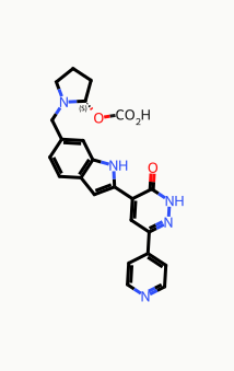 O=C(O)O[C@H]1CCCN1Cc1ccc2cc(-c3cc(-c4ccncc4)n[nH]c3=O)[nH]c2c1